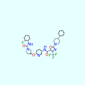 O=C(Nc1ccc(O[C@@H]2CCN(C(=O)Nc3ccccc3F)C2)nc1)c1oc(N2CCC(c3ccccc3)CC2)nc1C(F)(F)F